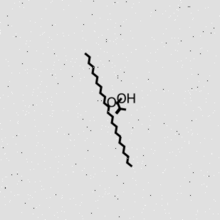 C=C(C)C(=O)O.CCCCCCCCCCCCCCCCCCCCCCCC